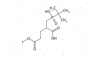 CC(C)(C)P(=O)(O)CC(CCC(=O)OI)C(=O)O